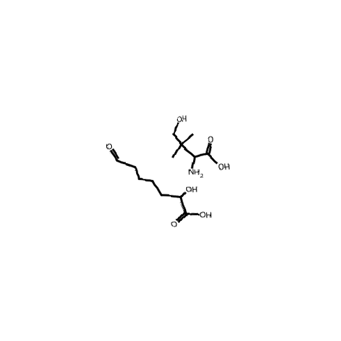 CC(C)(CO)C(N)C(=O)O.O=CCCCCC(O)C(=O)O